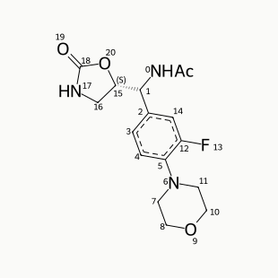 CC(=O)NC(c1ccc(N2CCOCC2)c(F)c1)[C@@H]1CNC(=O)O1